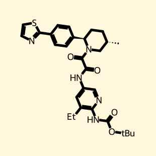 CCc1cc(NC(=O)C(=O)N2C[C@@H](C)CC[C@@H]2c2ccc(-c3nccs3)cc2)cnc1NC(=O)OC(C)(C)C